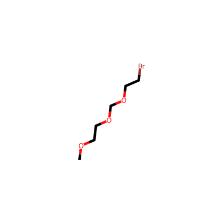 COCCOCOCCBr